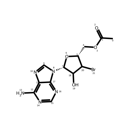 CC(=O)OC[C@H]1O[C@@H](n2cnc3c(N)ncnc32)C(O)C1Br